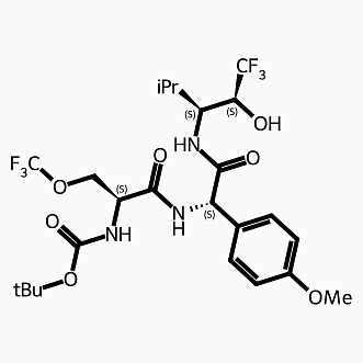 COc1ccc([C@H](NC(=O)[C@H](COC(F)(F)F)NC(=O)OC(C)(C)C)C(=O)N[C@@H](C(C)C)[C@H](O)C(F)(F)F)cc1